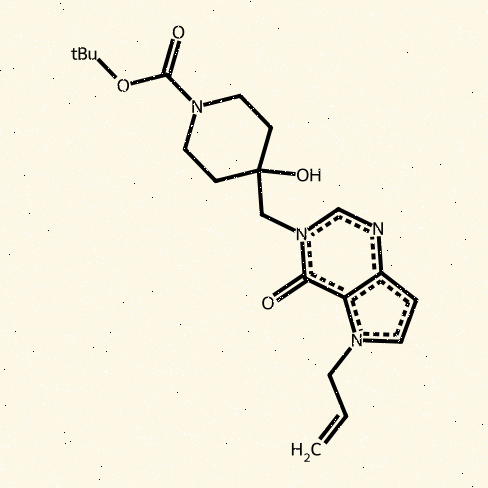 C=CCn1ccc2ncn(CC3(O)CCN(C(=O)OC(C)(C)C)CC3)c(=O)c21